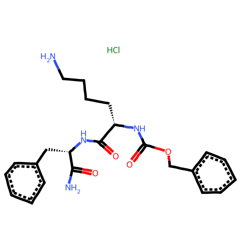 Cl.NCCCC[C@H](NC(=O)OCc1ccccc1)C(=O)N[C@@H](Cc1ccccc1)C(N)=O